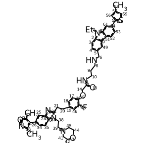 CCn1c2ccc(CNCCCNC(=O)COc3ccc(CCc4nc5cc(-c6c(C)noc6C)ccc5n4CCN4CCOCC4)cc3F)cc2c2ccc(-c3cc(C)cs3)cc21